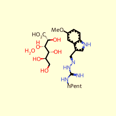 CCCCCNC(=N)N/N=C/c1c[nH]c2ccc(OC)cc12.O.O=C(O)[C@H](O)[C@@H](O)[C@H](O)[C@H](O)CO